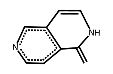 C=C1NC=Cc2cnccc21